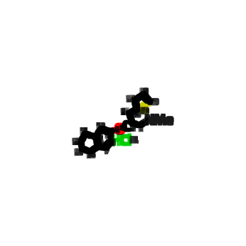 CNCC(COc1ccc2c(c1)CCCC2)Cc1cccs1.Cl